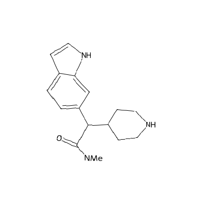 CNC(=O)C(c1ccc2cc[nH]c2c1)C1CCNCC1